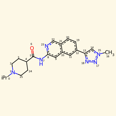 CC(C)N1CCC(C(=O)Nc2cc3cc(-c4cn(C)nn4)ccc3cn2)CC1